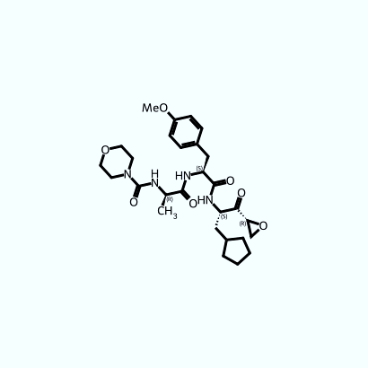 COc1ccc(C[C@H](NC(=O)[C@@H](C)NC(=O)N2CCOCC2)C(=O)N[C@@H](CC2CCCC2)C(=O)[C@H]2CO2)cc1